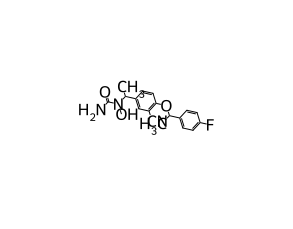 CC(Oc1ccc(C(C)N(O)C(N)=O)cc1C#N)c1ccc(F)cc1